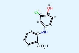 O=C(O)c1ccccc1Nc1ccc(O)c(Cl)c1